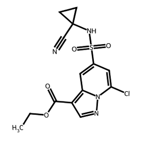 CCOC(=O)c1cnn2c(Cl)cc(S(=O)(=O)NC3(C#N)CC3)cc12